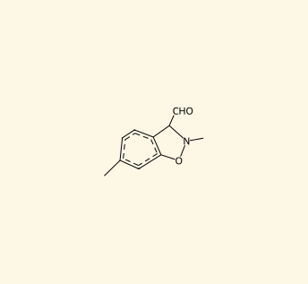 Cc1ccc2c(c1)ON(C)C2C=O